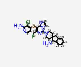 Nc1nccc(Sc2c(CF)nc(N3CCC4(CC3)Cc3ccccc3[C@H]4N)n3ccnc23)c1Cl